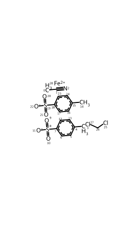 CC#N.Cc1ccc(S(=O)(=O)[O-])cc1.Cc1ccc(S(=O)(=O)[O-])cc1.ClCCl.[Fe+2]